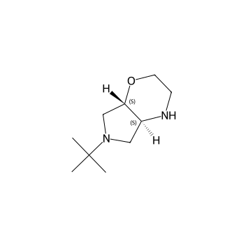 CC(C)(C)N1C[C@@H]2NCCO[C@H]2C1